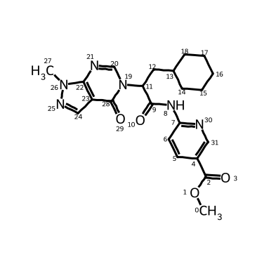 COC(=O)c1ccc(NC(=O)C(CC2CCCCC2)n2cnc3c(cnn3C)c2=O)nc1